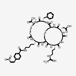 CC(=O)[C@@H]1CSCC(=O)N[C@@H](CCCCNC(=O)c2ccc(/C=C\[N+](=O)[O-])cc2)C(=O)N[C@H]2CSSC[C@H](NC(=O)[C@H](CC(=O)O)NC(=O)CNC(=O)[C@H](CCCNC(=N)N)NC2=O)C(=O)N[C@@H](Cc2ccccc2)C(=O)N1